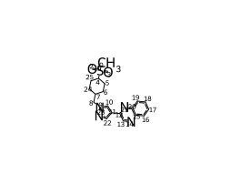 CS(=O)(=O)C1CCC(Cn2cc(-c3cnc4ccccc4n3)cn2)CC1